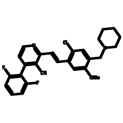 COc1cc(/C=C/c2nccc(-c3c(F)cccc3F)c2C#N)c(Cl)cc1CN1CCCCC1